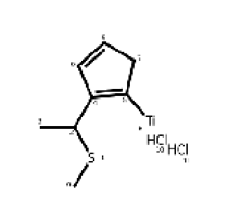 CSC(C)C1=[C]([Ti])CC=C1.Cl.Cl